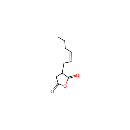 CCC/C=C\CC1CC(=O)OC1=O